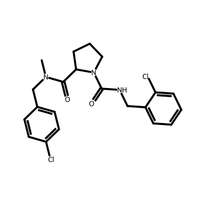 CN(Cc1ccc(Cl)cc1)C(=O)C1CCCN1C(=O)NCc1ccccc1Cl